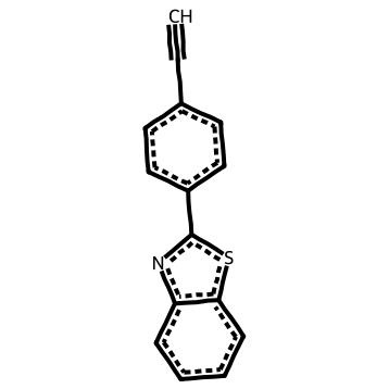 C#Cc1ccc(-c2nc3ccccc3s2)cc1